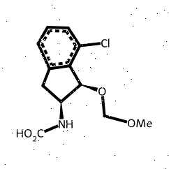 COCO[C@@H]1c2c(Cl)cccc2C[C@@H]1NC(=O)O